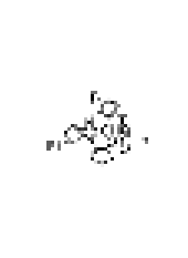 CCc1ccc2c(c1)c(-c1cccnc1OC(N)=O)c([C]=O)n2Cc1cc(F)ccc1F